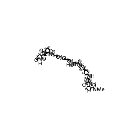 CNC(=O)c1ccccc1Nc1nc(Nc2ccc(N3CCN(C(=O)NCC(O)COCCOCCOCCC(=O)Nc4cccc5c4CN(C4CCC(=O)NC4=O)C5=O)CC3)cc2)ncc1Cl